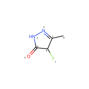 CC1=NNC(=O)C1F